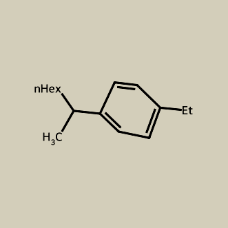 CCCC[CH]CC(C)c1ccc(CC)cc1